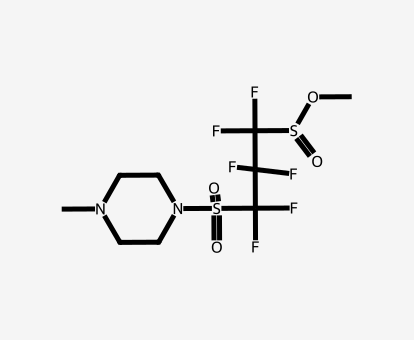 COS(=O)C(F)(F)C(F)(F)C(F)(F)S(=O)(=O)N1CCN(C)CC1